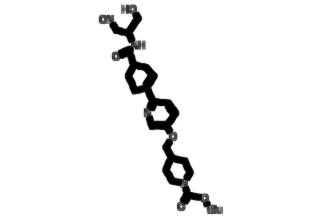 CC(C)(C)OC(=O)N1CCC(COc2ccc(C3=CCC(C(=O)NC(CO)CN=O)CC3)nc2)CC1